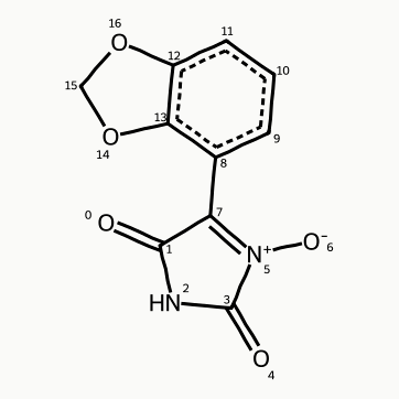 O=C1NC(=O)[N+]([O-])=C1c1cccc2c1OCO2